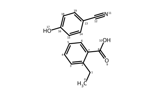 CCc1ccccc1C(=O)O.N#Cc1ccc(O)cc1